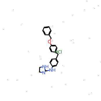 Cl.c1ccc(COc2ccc(Cc3ccc(NC4=NCCN4)cc3)cc2)cc1